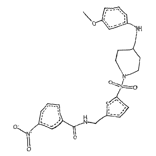 COc1cccc(NC2CCN(S(=O)(=O)c3ccc(CNC(=O)c4cccc([N+](=O)[O-])c4)s3)CC2)c1